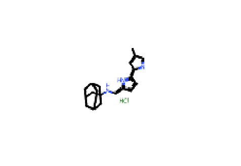 CC1=CC(=c2ccc(=CNC34CC5CC(CC(C5)C3)C4)[nH]2)N=C1.Cl